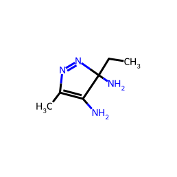 CCC1(N)N=NC(C)=C1N